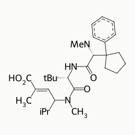 CN[C@@H](C(=O)N[C@H](C(=O)N(C)C(/C=C(\C)C(=O)O)C(C)C)C(C)(C)C)C1(c2ccccc2)CCCC1